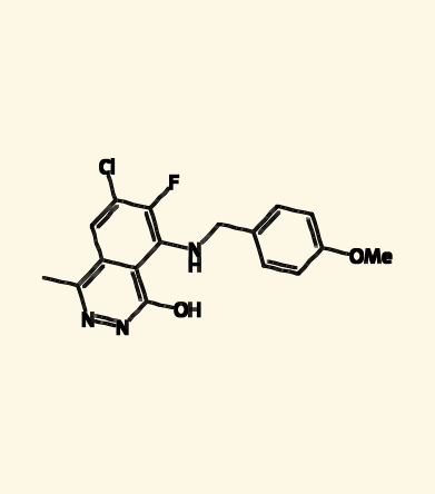 COc1ccc(CNc2c(F)c(Cl)cc3c(C)nnc(O)c23)cc1